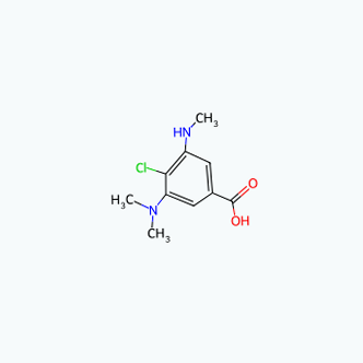 CNc1cc(C(=O)O)cc(N(C)C)c1Cl